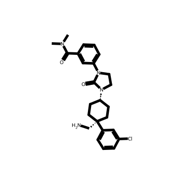 CN(C)C(=O)c1cccc(N2CCN([C@H]3CC[C@](CN)(c4cccc(Cl)c4)CC3)C2=O)c1